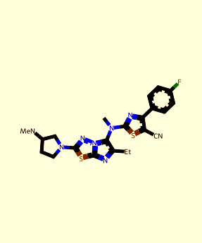 CCc1nc2sc(N3CCC(NC)C3)nn2c1N(C)c1nc(-c2ccc(F)cc2)c(C#N)s1